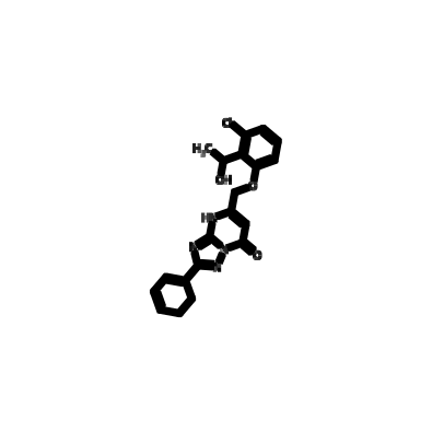 CC(O)c1c(Cl)cccc1OCc1cc(=O)n2nc(C3=CC=CCC3)nc2[nH]1